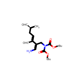 C[C@H](C=O)C/C=C(C=O)/C(=C\N)CN(C(=O)OC(C)(C)C)C(=O)OC(C)(C)C